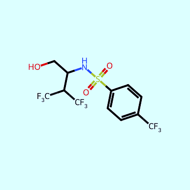 O=S(=O)(NC(CO)C(C(F)(F)F)C(F)(F)F)c1ccc(C(F)(F)F)cc1